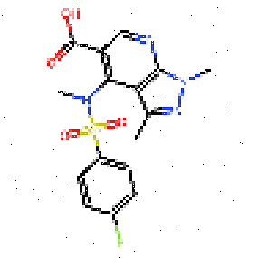 Cc1nn(C)c2ncc(C(=O)O)c(N(C)S(=O)(=O)c3ccc(F)cc3)c12